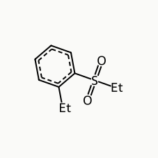 CCc1ccccc1S(=O)(=O)CC